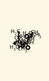 C=CCNC(=O)C(=O)C(CC1CC1)NC(=O)[C@@H]1C(C(C)(C)C)CCN1C(=O)[C@@H](NC(=O)NC1(CS(=O)(=O)C(C)(C)C)CCCCC1)C1CCCCC1